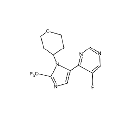 Fc1cncnc1-c1cnc(C(F)(F)F)n1C1CCOCC1